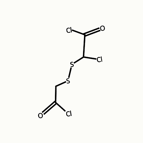 O=C(Cl)CSSC(Cl)C(=O)Cl